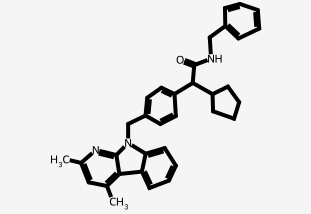 Cc1cc(C)c2c3ccccc3n(Cc3ccc(C(C(=O)NCc4ccccc4)C4CCCC4)cc3)c2n1